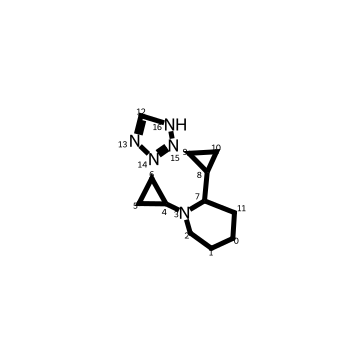 C1CCN(C2CC2)C(C2CC2)C1.c1nnn[nH]1